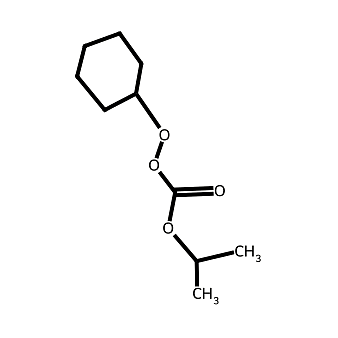 CC(C)OC(=O)OOC1CCCCC1